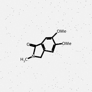 COc1cc2c(cc1OC)C(=O)N(C)C2